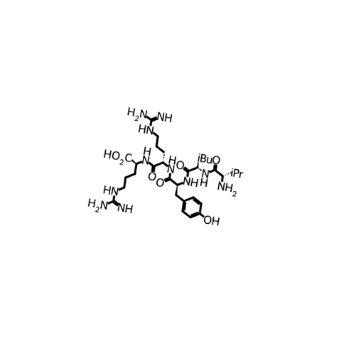 CC[C@H](C)[C@H](NC(=O)[C@@H](N)C(C)C)C(=O)N[C@@H](Cc1ccc(O)cc1)C(=O)N[C@@H](CCCNC(=N)N)C(=O)N[C@@H](CCCNC(=N)N)C(=O)O